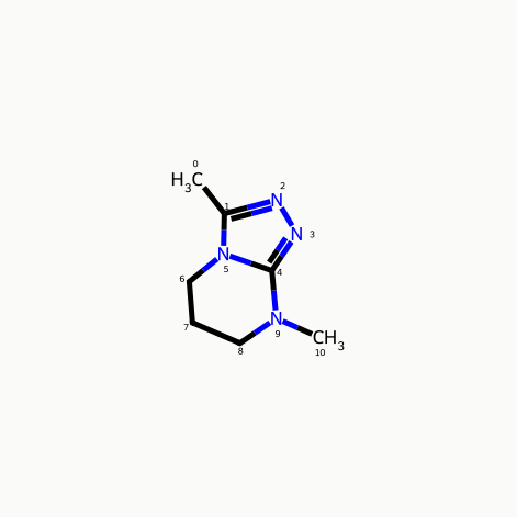 Cc1nnc2n1CCCN2C